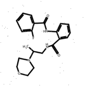 CC(CNC(=O)c1ccccc1NC(=O)c1ccccc1F)N1CCOCC1